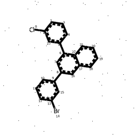 Clc1cccc(-c2cc(-c3cccc(Br)c3)cc3ccccc23)c1